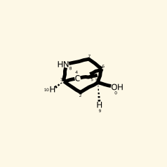 O[C@H]1C[C@@H]2CC=C1CN2